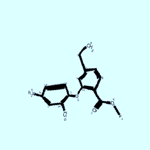 CCc1ccc(C(=O)OF)c(Oc2ccc(N)cc2Cl)c1